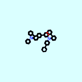 C1=CC(c2ccc(N(c3cccc(-c4ccc5c(ccc6c5c5ccccc5n6-c5ccccc5)c4)c3)c3ccccc3-c3ccccc3)cc2)=CCC1